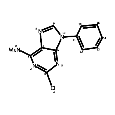 CNc1nc(Cl)nc2c1ncn2-c1ccccc1